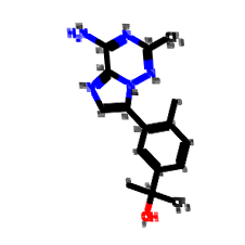 Cc1ccc(C(C)(O)C(F)(F)F)cc1-c1cnc2c(N)nc(C(F)(F)F)nn12